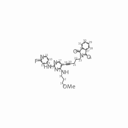 COCCCNc1nc(Nc2ccnc(F)c2)ncc1C#CCCCN1C(=O)c2ccccc2C1=O